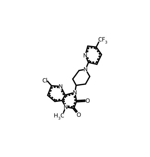 Cn1c(=O)c(=O)n(C2CCN(c3ccc(C(F)(F)F)cn3)CC2)c2nc(Cl)ccc21